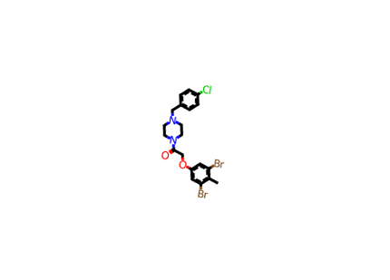 Cc1c(Br)cc(OCC(=O)N2CCN(Cc3ccc(Cl)cc3)CC2)cc1Br